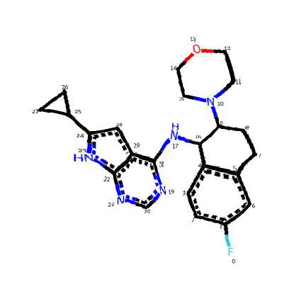 Fc1ccc2c(c1)CCC(N1CCOCC1)C2Nc1ncnc2[nH]c(C3CC3)cc12